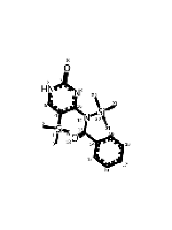 C[Si](C)(C)c1c[nH]c(=O)nc1N(C(=O)c1ccccc1)[Si](C)(C)C